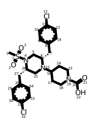 CS(=O)(=O)N1C[C@H](Cc2ccc(Cl)cc2)N(C2CCN(C(=O)O)CC2)C[C@@H]1Cc1ccc(Cl)cc1